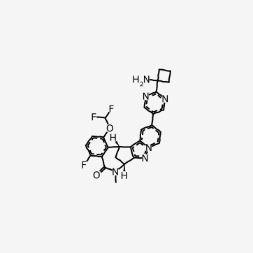 CN1C(=O)c2c(F)ccc(OC(F)F)c2[C@H]2C[C@@H]1c1nn3ccc(-c4cnc(C5(N)CCC5)nc4)cc3c12